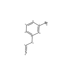 S=[C]Cc1cccc(Br)c1